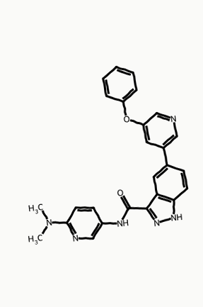 CN(C)c1ccc(NC(=O)c2n[nH]c3ccc(-c4cncc(Oc5ccccc5)c4)cc23)cn1